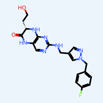 O=C1Nc2cnc(NCc3cnn(Cc4ccc(F)cc4)c3)nc2N[C@H]1CCO